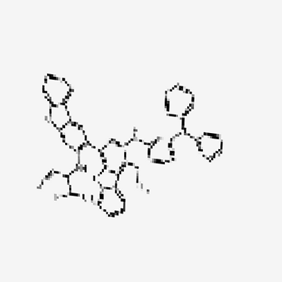 C=Cc1c(Nc2cccc(N(c3ccccc3)c3ccccc3)c2)cc(-c2cc3c(cc2NC(C=C)[C@@H](C)C(C)C)oc2ccccc23)c2oc3ccccc3c12